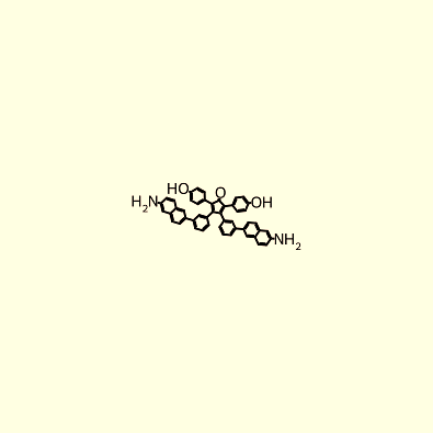 Nc1ccc2cc(-c3cccc(C4=C(c5ccc(O)cc5)C(=O)C(c5ccc(O)cc5)=C4c4cccc(-c5ccc6cc(N)ccc6c5)c4)c3)ccc2c1